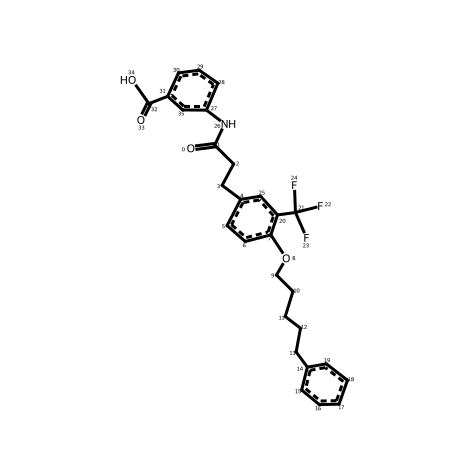 O=C(CCc1ccc(OCCCCCc2ccccc2)c(C(F)(F)F)c1)Nc1cccc(C(=O)O)c1